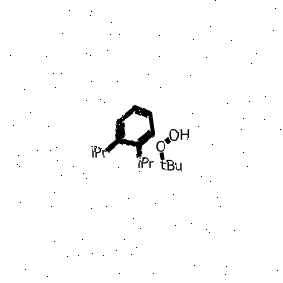 CC(C)(C)OO.CC(C)c1ccccc1C(C)C